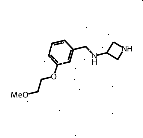 COCCOc1cccc(CNC2CNC2)c1